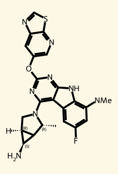 CNc1cc(F)cc2c1[nH]c1nc(Oc3cnc4scnc4c3)nc(N3C[C@H]4C([C@H]4N)[C@H]3C)c12